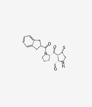 O=C[C@H]1NCC(=S)C1C(=O)[C@@H]1CCCN1C(=O)C1Cc2ccccc2C1